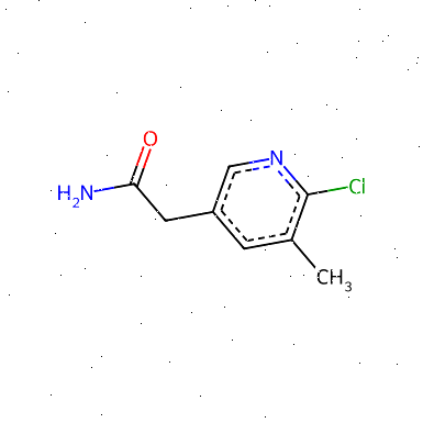 Cc1cc(CC(N)=O)cnc1Cl